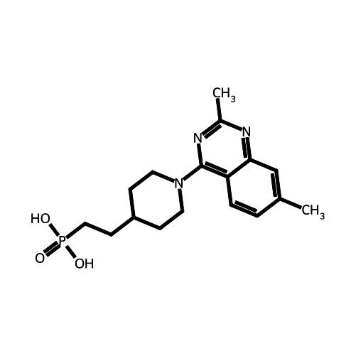 Cc1ccc2c(N3CCC(CCP(=O)(O)O)CC3)nc(C)nc2c1